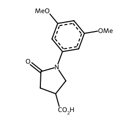 COc1cc(OC)cc(N2CC(C(=O)O)CC2=O)c1